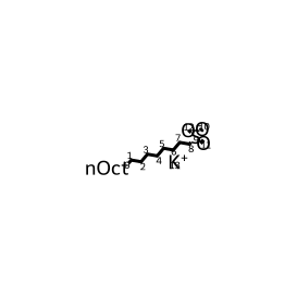 CCCCCCCCCCCCCCCCS(=O)(=O)[O-].[K+]